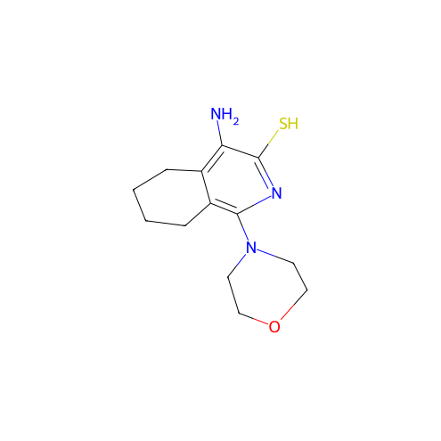 Nc1c(S)nc(N2CCOCC2)c2c1CCCC2